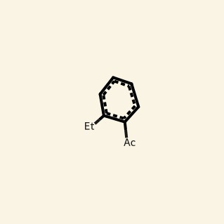 CCc1ccccc1C(C)=O